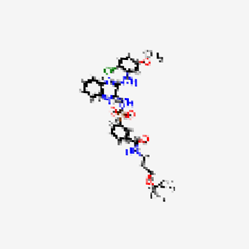 COc1ccc(Cl)c(Nc2nc3ccccc3nc2NS(=O)(=O)c2cccc(C(=O)NCCCOC(C)C)c2)c1